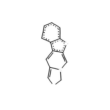 C1=C2C=c3c([nH]c4ccccc34)=CN2CO1